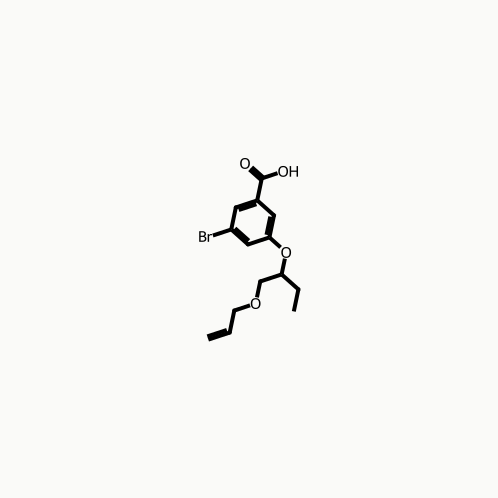 C=CCOCC(CC)Oc1cc(Br)cc(C(=O)O)c1